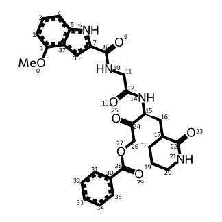 COc1cccc2[nH]c(C(=O)NCC(=O)N[C@@H](CC3CCCNC3=O)C(=O)COC(=O)c3ccccc3)cc12